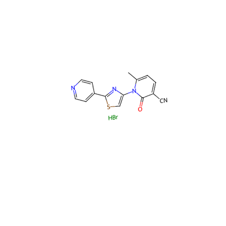 Br.Cc1ccc(C#N)c(=O)n1-c1csc(-c2ccncc2)n1